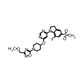 COCc1noc(N2CCC(Oc3cc(N4CCc5cc(S(C)(=O)=O)cc(F)c54)ncn3)CC2)n1